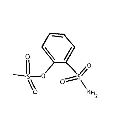 CS(=O)(=O)Oc1ccccc1S(N)(=O)=O